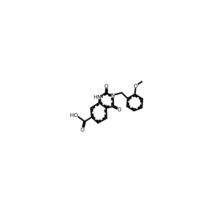 COc1ccccc1Cn1c(=O)[nH]c2cc(C(=O)O)ccc2c1=O